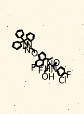 CC(c1ccc(OCc2ncn(C(c3ccccc3)(c3ccccc3)c3ccccc3)n2)c2cc(F)c(F)cc12)N(CCCO)C(=O)Nc1ccc(F)c(Cl)c1